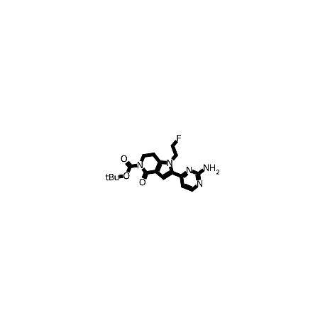 CC(C)(C)OC(=O)N1CCc2c(cc(-c3ccnc(N)n3)n2CCF)C1=O